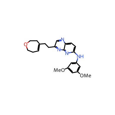 COc1cc(Nc2ccc3ncc(CCC4=CCCOCC4)nc3n2)cc(OC)c1